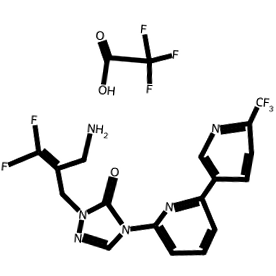 NCC(Cn1ncn(-c2cccc(-c3ccc(C(F)(F)F)nc3)n2)c1=O)=C(F)F.O=C(O)C(F)(F)F